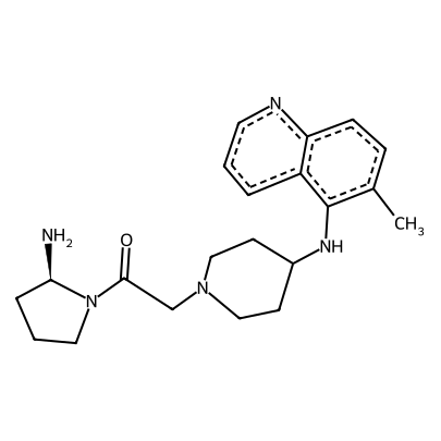 Cc1ccc2ncccc2c1NC1CCN(CC(=O)N2CCC[C@H]2N)CC1